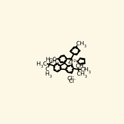 Cc1ccc([C](c2ccc(C)cc2)=[Zr+2]([c]2c(C(C)(C)C)ccc3c2Cc2cc(C(C)(C)C)ccc2-3)[CH]2C=CC=C2)cc1.[Cl-].[Cl-]